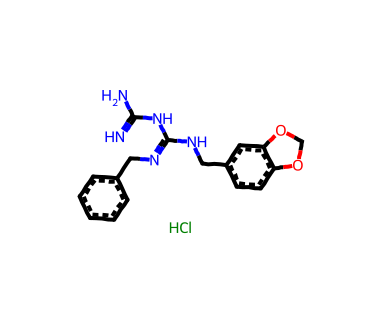 Cl.N=C(N)NC(=NCc1ccccc1)NCc1ccc2c(c1)OCO2